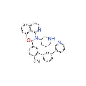 Cc1cccc2ccnc(N(C(=O)c3ccc(C#N)c(-c4cccc(-c5cccnc5)c4)c3)[C@@H]3CCCNC3)c12